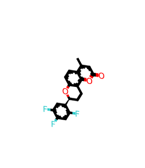 Cc1cc(=O)oc2c3c(ccc12)O[C@H](c1cc(F)c(F)cc1F)CC3